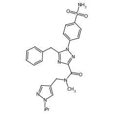 CC(C)n1cc(CN(C)C(=O)c2nc(Cc3ccccc3)n(-c3ccc(S(N)(=O)=O)cc3)n2)cn1